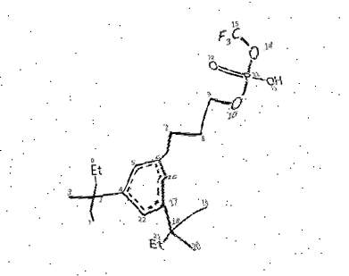 CCC(C)(C)c1cc(CCCOP(=O)(O)OC(F)(F)F)cc(C(C)(C)CC)c1